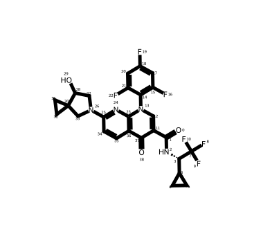 O=C(N[C@@H](C1CC1)C(F)(F)F)c1cn(-c2c(F)cc(F)cc2F)c2nc(N3CC(O)C4(CC4)C3)ccc2c1=O